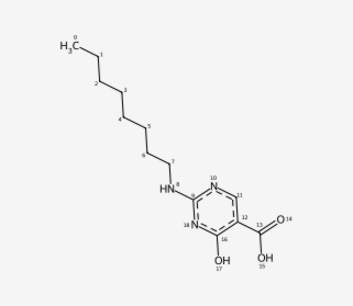 CCCCCCCCNc1ncc(C(=O)O)c(O)n1